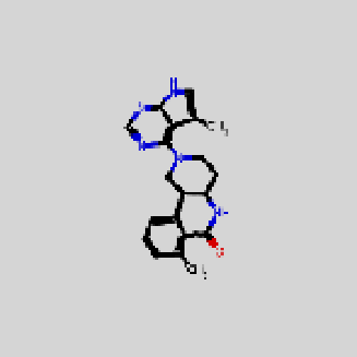 Cc1cccc2c1C(=O)NC1CCN(c3ncnc4[nH]cc(C)c34)CC21